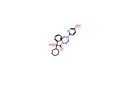 O=C(N1CCN(c2ccc(O)cn2)CC1)C(O)(c1ccccc1)C1CCCCC1